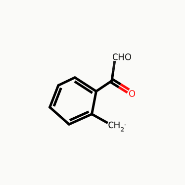 [CH2]c1ccccc1C(=O)C=O